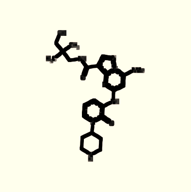 CNc1cc(Nc2cccn(C3CCNCC3)c2=O)nc2c(C(=O)NCC(C)(C)CO)cnn12